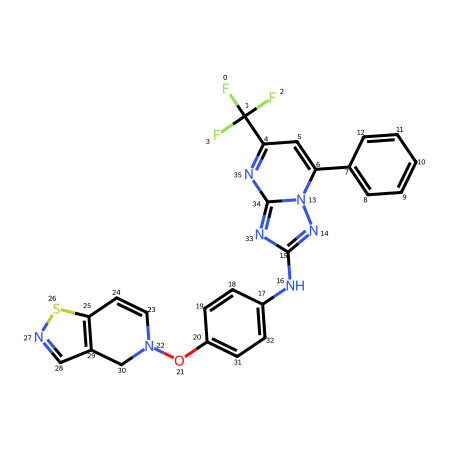 FC(F)(F)c1cc(-c2ccccc2)n2nc(Nc3ccc(ON4C=Cc5sncc5C4)cc3)nc2n1